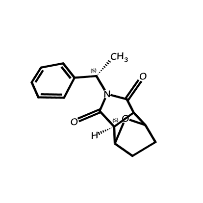 C[C@@H](c1ccccc1)N1C(=O)C2C3CCC(O3)[C@H]2C1=O